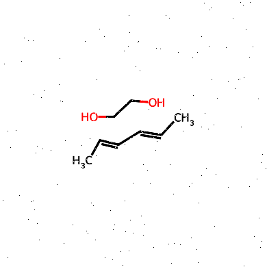 CC=CC=CC.OCCO